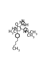 CCCCCc1ccc(C2(C)CC(c3ccn(C(C)C)n3)=C(c3nnc[nH]3)C(=O)N2)cc1